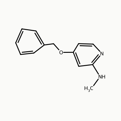 CNc1cc(OCc2ccccc2)ccn1